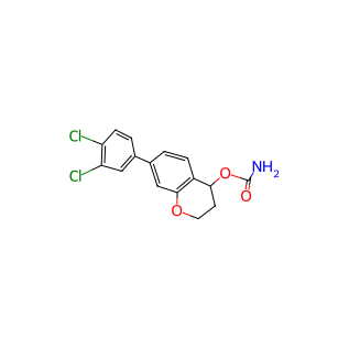 NC(=O)OC1CCOc2cc(-c3ccc(Cl)c(Cl)c3)ccc21